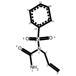 C=CCN(C(N)=O)S(=O)(=O)c1ccccc1